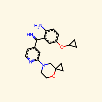 N=C(c1ccnc(N2CCOC3(CC3)C2)c1)c1cc(OC2CC2)ccc1N